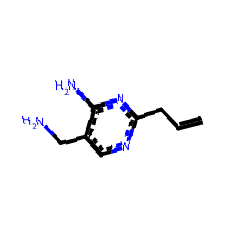 C=CCc1ncc(CN)c(N)n1